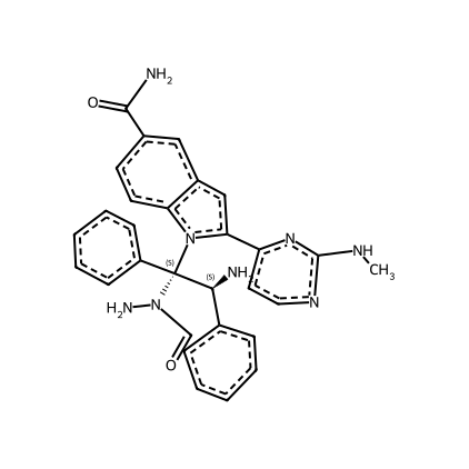 CNc1nccc(-c2cc3cc(C(N)=O)ccc3n2[C@](c2ccccc2)([C@@H](N)c2ccccc2)N(N)C=O)n1